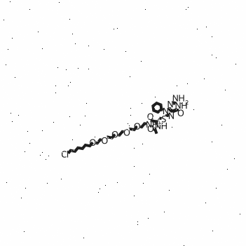 CC(=O)N[C@@H](CSc1nc2c(=O)[nH]c(N)nc2n1C1CCCCC1)C(=O)NCCOCCOCCOCCOCCOCCCCCCCl